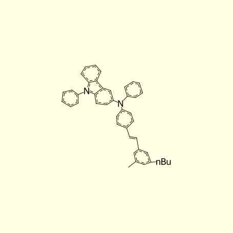 CCCCc1cc(C)cc(/C=C/c2ccc(N(c3ccccc3)c3ccc4c(c3)c3ccccc3n4-c3ccccc3)cc2)c1